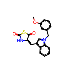 COc1cccc(Cn2cc(C=C3NC(=O)SC3=O)c3ccccc32)c1